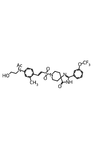 CC(=O)N(CCO)c1ccc(/C=C/S(=O)(=O)N2CCC3(CC2)N=C(c2cccc(OC(F)(F)F)c2)NC3=O)c(C)c1